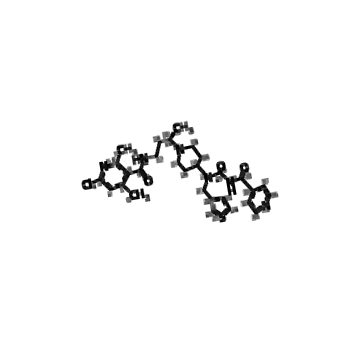 Cc1cc(Cl)nc(C)c1C(=O)NCC[C@@H](C)N1CCC(N(Cc2ccsc2)C(=O)NC(=O)c2ccncc2)CC1